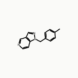 Cc1ccc(Cn2ncc3cnccc32)cc1